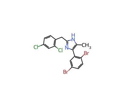 Cc1[nH]c(Cc2ccc(Cl)cc2Cl)nc1-c1cc(Br)ccc1Br